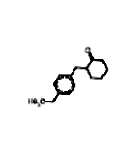 O=C(O)Cc1ccc(CC2CCCCC2=O)cc1